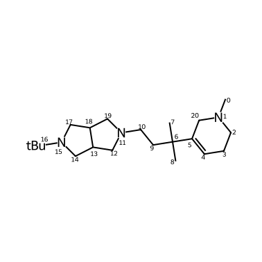 CN1CCC=C(C(C)(C)CCN2CC3CN(C(C)(C)C)CC3C2)C1